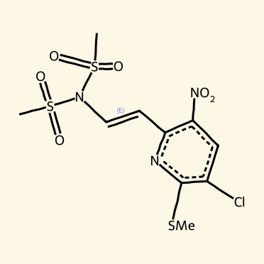 CSc1nc(/C=C/N(S(C)(=O)=O)S(C)(=O)=O)c([N+](=O)[O-])cc1Cl